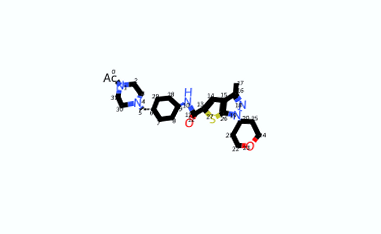 CC(=O)N1CCN(C[C@H]2CC[C@H](NC(=O)c3cc4c(C)nn(C5CCOCC5)c4s3)CC2)CC1